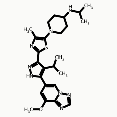 COc1cc(-c2[nH]nc(-c3nc(C)c(N4CCC(NC(C)C)CC4)s3)c2C(C)C)cn2ncnc12